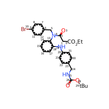 CCOC(=O)CC(=O)N(Cc1ccc(Br)cc1)c1ccccc1Nc1ccc(CNC(=O)OC(C)(C)C)cc1